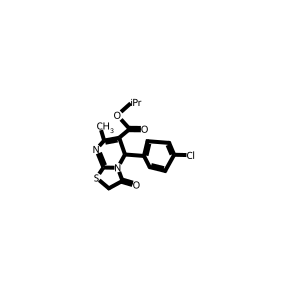 CC1=C(C(=O)OC(C)C)C(c2ccc(Cl)cc2)N2C(=O)CSC2=N1